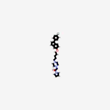 O=C(CN1CCN(CCCCCOc2ccc3c(c2)CC=C3c2ccc(Cl)cc2)CC1)N1CCCC1